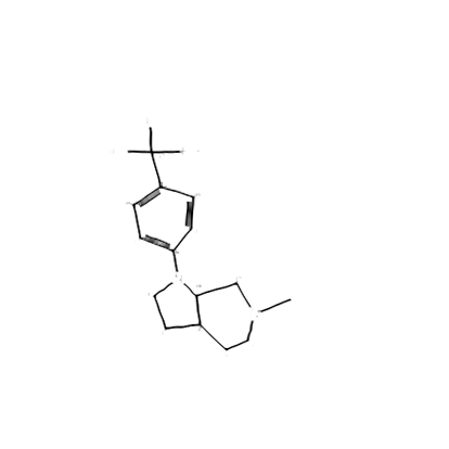 CN1CCC2CCN(c3ccc(C(F)(F)F)cc3)C2C1